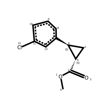 COC(=O)[C@H]1C[C@@H]1c1cccc(Cl)c1